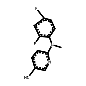 CN(c1ccc(C#N)cn1)c1ccc(F)cc1F